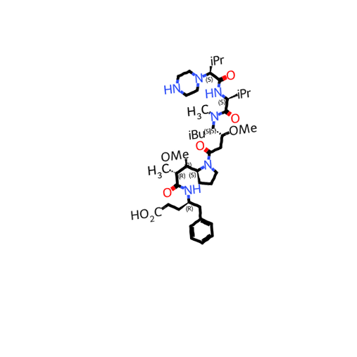 CC[C@H](C)[C@@H](C(CC(=O)N1CCC[C@H]1[C@H](OC)[C@@H](C)C(=O)N[C@H](CCC(=O)O)Cc1ccccc1)OC)N(C)C(=O)[C@@H](NC(=O)[C@H](C(C)C)N1CCNCC1)C(C)C